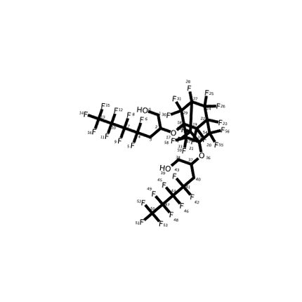 OCC(CC(F)(F)C(F)(F)C(F)(F)C(F)(F)F)OC12C(F)(F)C3(F)C(F)(F)C(F)(C1(F)F)C(F)(F)C(OC(CO)CC(F)(F)C(F)(F)C(F)(F)C(F)(F)F)(C3(F)F)C2(F)F